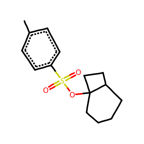 Cc1ccc(S(=O)(=O)OC23CCCCC2CC3)cc1